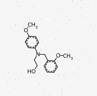 COc1ccc(N(CCO)Cc2ccccc2OC)cc1